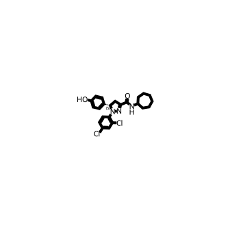 O=C(NC1CCCCCC1)C1=NN(c2ccc(Cl)cc2Cl)[C@H](c2ccc(O)cc2)C1